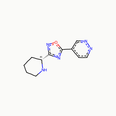 c1cc(-c2nc([C@H]3CCCCN3)no2)cnn1